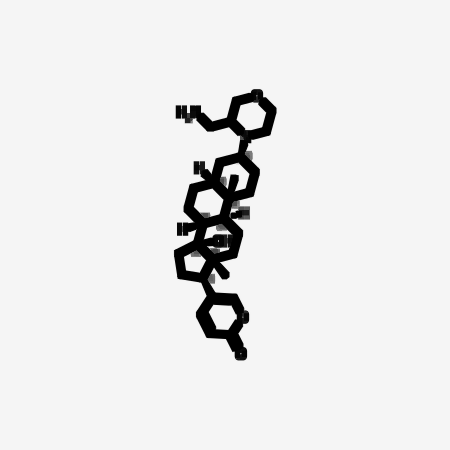 C[C@]12CC[C@H](N3CCOCC3CN)C[C@H]1CC[C@@H]1[C@@H]2CC[C@]2(C)[C@@H](c3ccc(=O)oc3)CC[C@]12O